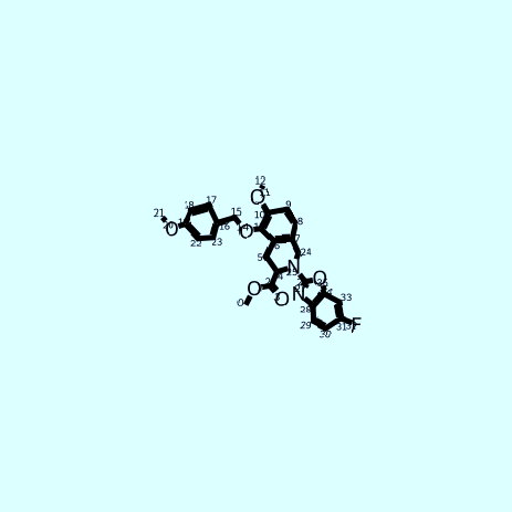 COC(=O)C1Cc2c(ccc(OC)c2OCc2ccc(OC)cc2)CN1c1nc2ccc(F)cc2o1